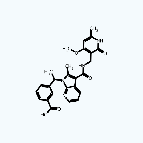 COc1cc(C)[nH]c(=O)c1CNC(=O)c1c(C)n(C(C)c2cccc(C(=O)O)c2)c2ncccc12